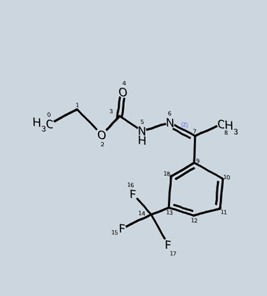 CCOC(=O)N/N=C(/C)c1cccc(C(F)(F)F)c1